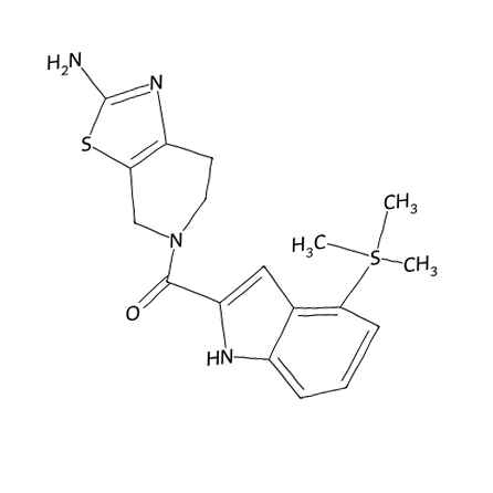 CS(C)(C)c1cccc2[nH]c(C(=O)N3CCc4nc(N)sc4C3)cc12